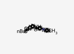 CCCCOC(=O)CN1CCc2ccc(NC(=O)c3ccc(/C=N/N4CCN(C)CC4)cc3)cc2C1